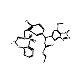 CCOC(=O)CC(c1ccc(Cl)c(CN2C[C@@H](C)Oc3ccccc3S2(=O)=O)c1)c1cc(OC)c2c(c1)nnn2C